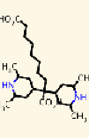 CC1CC(C(CCCCCCCC(=O)O)(C(=O)O)C2CC(C)NC(C)C2)CC(C)N1